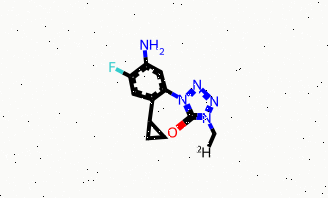 [2H]Cn1nnn(-c2cc(N)c(F)cc2C2CC2)c1=O